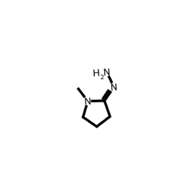 CN1CCC/C1=N/N